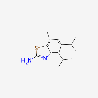 Cc1cc(C(C)C)c(C(C)C)c2nc(N)sc12